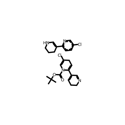 CC(C)(C)OC(=O)N1C=C(Cl)CC=C1C1=CCCN=C1.Clc1ccc(C2=CNCCC2)nc1